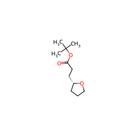 CC(C)(C)OC(=O)CC[C@H]1CCCO1